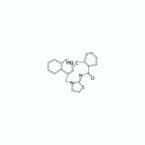 O=C(O)c1ccccc1C(=O)N=c1sccn1Cc1cccc2ccccc12